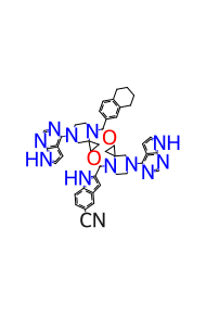 N#Cc1ccc2[nH]c(C(=O)N3CCN(c4ncnc5[nH]ccc45)CC34CC4)cc2c1.O=C(c1ccc2c(c1)CCCC2)N1CCN(c2ncnc3[nH]ccc23)CC12CC2